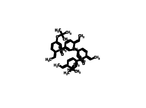 C\C=C(/C=C\C(=C/C)S(=O)(=O)C(/C=C\C(=C/C)OC(C)(C)C)=C/C)OC(/C=C\C(=C/C)S(=O)(=O)C(/C=C\C(=C/C)C(C)(C)C)=C/C)=C/C